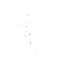 C[C@@H](c1ccc(-c2ccc(F)cc2F)cc1)N1CC[C@](CCCO)(c2cccs2)OC1=O